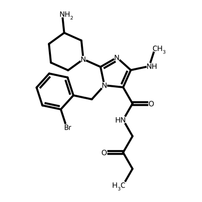 CCC(=O)CNC(=O)c1c(NC)nc(N2CCCC(N)C2)n1Cc1ccccc1Br